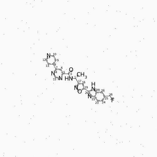 C[C@@H](NC(=O)c1cc(-c2ccncc2)ncn1)c1cc(-c2nc3ccc(CF)cc3[nH]2)on1